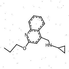 CCCOc1cc(CNC2CC2)c2ccccc2n1